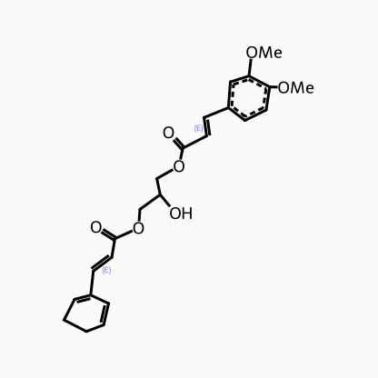 COc1ccc(/C=C/C(=O)OCC(O)COC(=O)/C=C/C2=CCCC=C2)cc1OC